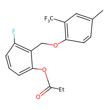 CCC(=O)Oc1cccc(F)c1COc1ccc(C)cc1C(F)(F)F